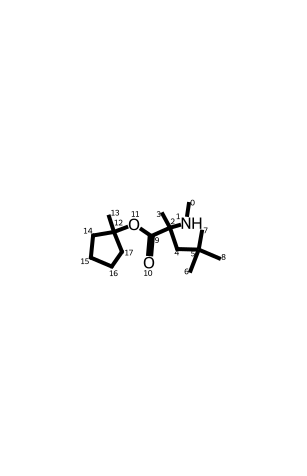 CNC(C)(CC(C)(C)C)C(=O)OC1(C)CCCC1